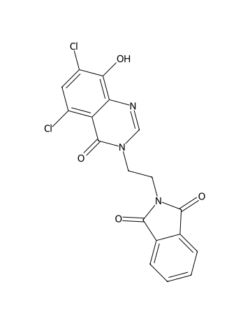 O=C1c2ccccc2C(=O)N1CCn1cnc2c(O)c(Cl)cc(Cl)c2c1=O